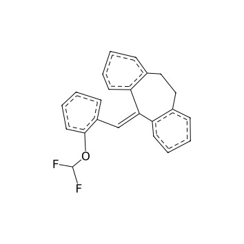 FC(F)Oc1ccccc1C=C1c2ccccc2CCc2ccccc21